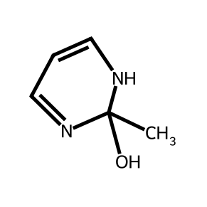 CC1(O)N=CC=CN1